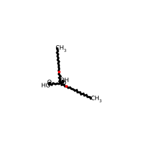 CCCCCCCCCCCCCCCCCCCCC(CCCCCCCCCCCCCCCCCCCC)(CCCCCC(=O)O)C(=O)O